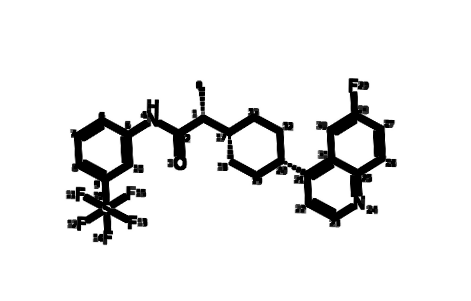 C[C@@H](C(=O)Nc1cccc(S(F)(F)(F)(F)F)c1)[C@H]1CC[C@@H](c2ccnc3ccc(F)cc32)CC1